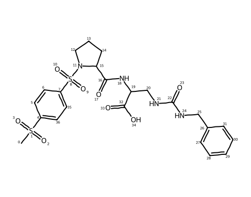 CS(=O)(=O)c1ccc(S(=O)(=O)N2CCCC2C(=O)NC(CNC(=O)NCc2ccccc2)C(=O)O)cc1